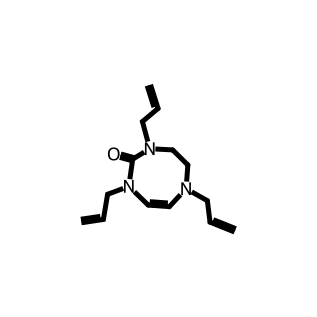 C=CCN1C=CN(CC=C)C(=O)N(CC=C)CC1